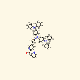 O=C(c1ccccn1)c1ccc(-c2csc(N(c3ccc(N(c4ccccc4)c4ccccc4)cc3)c3ccc(N(c4ccccc4)c4ccccc4)cc3)c2)cn1